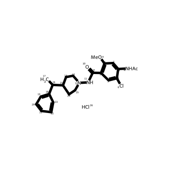 COc1cc(NC(C)=O)c(Cl)cc1C(=O)NN1CCC(C(C)c2ccccc2)CC1.Cl